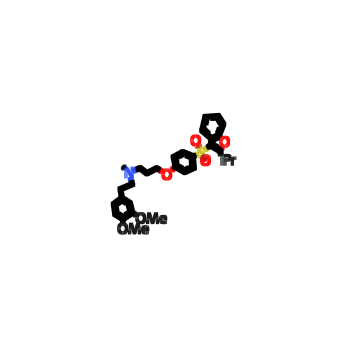 COc1ccc(CCN(C)CCCOc2ccc(S(=O)(=O)c3c(C(C)C)oc4ccccc34)cc2)cc1OC